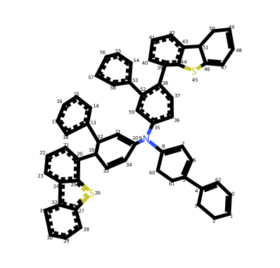 C1=CCCC(C2=CC=C(N(C3=CC(c4ccccc4)C(c4cccc5c4sc4ccccc45)C=C3)c3ccc(-c4cccc5c4SC4=CC=CCC45)c(-c4ccccc4)c3)CC2)=C1